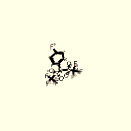 O=S(=O)(N(c1ccc(F)cc1)S(=O)(=O)C(F)(F)F)C(F)(F)F